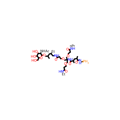 CCCNC(=O)CCOCC(COCCC(=O)NCC)(COCCC(=O)NCC(CC)CC(C)COC1OC(CO)C(O)C(O)C1NC(C)=O)NC(=O)C(C)CC(C)C(=O)NCP